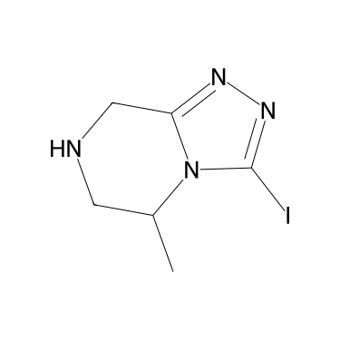 CC1CNCc2nnc(I)n21